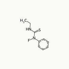 CCNC(=S)N(F)c1ccccc1